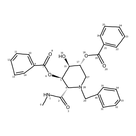 CNC(=O)[C@@H]1[C@@H](OC(=O)c2ccccc2)[C@@H](O)[C@H](OC(=O)c2ccccc2)CN1Cc1ccccc1